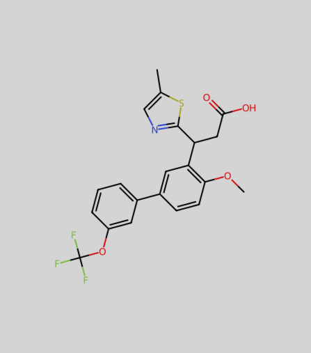 COc1ccc(-c2cccc(OC(F)(F)F)c2)cc1C(CC(=O)O)c1ncc(C)s1